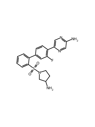 Nc1cnc(-c2ccc(-c3ccccc3S(=O)(=O)N3CCC(N)C3)cc2F)cn1